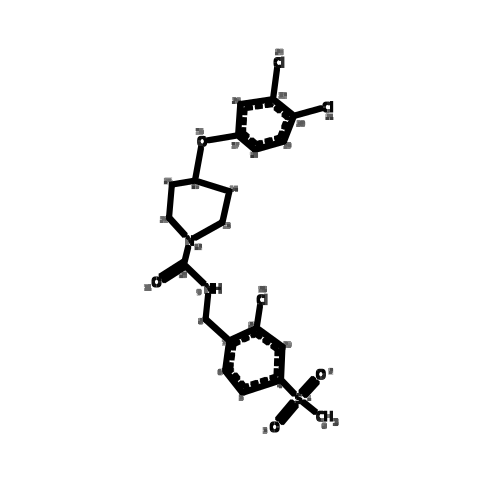 CS(=O)(=O)c1ccc(CNC(=O)N2CCC(Oc3ccc(Cl)c(Cl)c3)CC2)c(Cl)c1